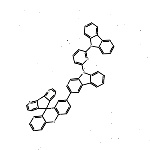 c1cc(-n2c3ccccc3c3ccccc32)nc(-n2c3ccccc3c3cc(-c4ccc5c(c4)C4(c6ccccc6S5)c5cccnc5-c5ncccc54)ccc32)c1